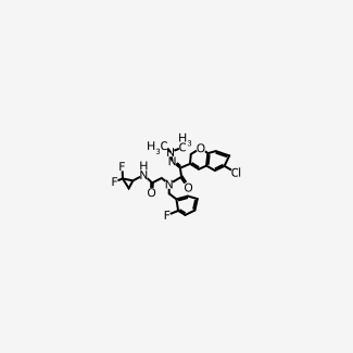 CN(C)/N=C(/C(=O)N(CC(=O)NC1CC1(F)F)Cc1ccccc1F)C1=Cc2cc(Cl)ccc2OC1